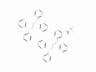 O=C([O-])C(F)(F)F.[Cu+].c1ccc(P(CCP(c2ccccc2)c2ccccc2)c2ccccc2)cc1.c1ccc(P(CCP(c2ccccc2)c2ccccc2)c2ccccc2)cc1